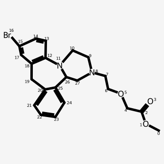 COC(=O)COCCN1CCN2c3ccc(Br)cc3Cc3ccccc3C2C1